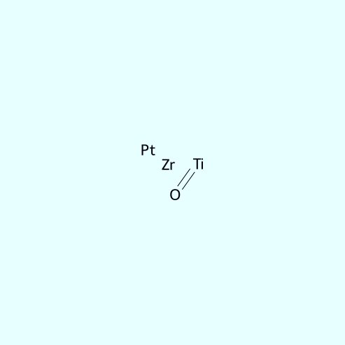 [O]=[Ti].[Pt].[Zr]